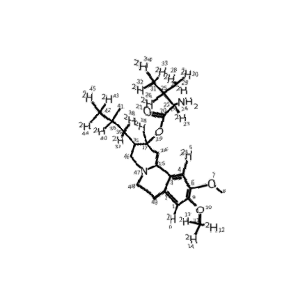 [2H]c1c2c(c([2H])c(OC)c1OC([2H])([2H])[2H])C1CC([2H])(OC(=O)[C@@]([2H])(N)C([2H])(C([2H])([2H])[2H])C([2H])([2H])[2H])C(C([2H])([2H])C([2H])(C)C([2H])([2H])[2H])CN1CC2